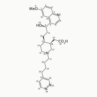 COc1ccc2nccc([C@H](O)CC[C@@H]3CCN(CCCCc4ccnnc4)C[C@@H]3CC(=O)O)c2c1